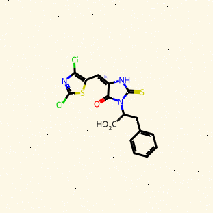 O=C(O)C(Cc1ccccc1)N1C(=O)/C(=C\c2sc(Cl)nc2Cl)NC1=S